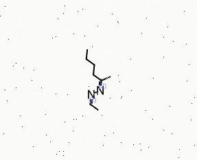 C/C=N\N=C(\C)CCCC